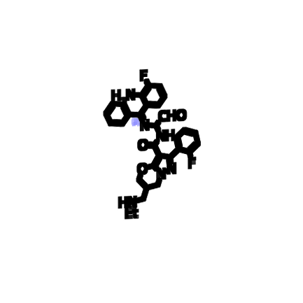 CCNCC1COc2c(C(=O)NC(C=O)/N=C(/c3ccccc3)c3cccc(F)c3N)c(-c3ccccc3F)nn2C1